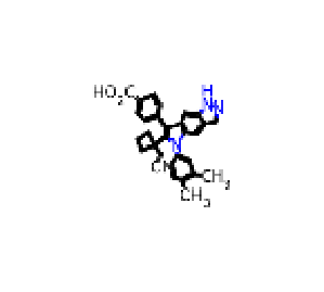 Cc1ccc(-n2c(C3(CC#N)CCC3)c(-c3ccc(C(=O)O)cc3)c3cc4[nH]ncc4cc32)cc1C